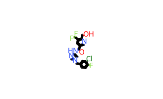 O=C(Nc1cn(Cc2ccc(F)c(Cl)c2)cn1)c1cnc(CO)c(C(F)F)c1